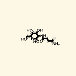 NC(=O)CCC(=O)NC1C(O)OC(CO)C(O)C1O